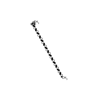 CCOCCOCCOCCOCCOCCOCCOCCOCCOCCOCCOCCOCCOCCOCCS(=O)(=O)OC